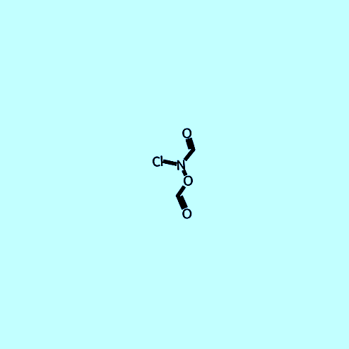 O=CON(Cl)C=O